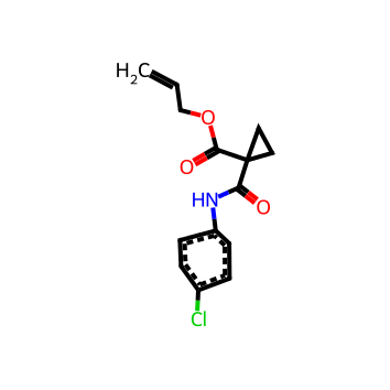 C=CCOC(=O)C1(C(=O)Nc2ccc(Cl)cc2)CC1